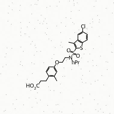 CCCN(CCOc1ccc(CCC(=O)O)c(C)c1)S(=O)(=O)c1sc2ccc(Cl)cc2c1C